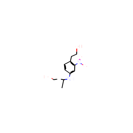 CC(CCO)Nc1ccc(CCO)c([N+](=O)[O-])c1